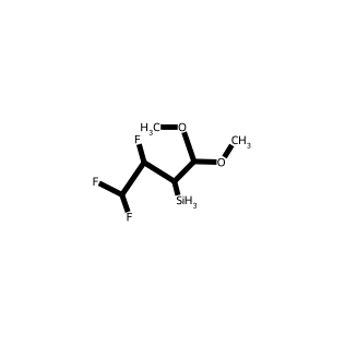 COC(OC)C([SiH3])C(F)C(F)F